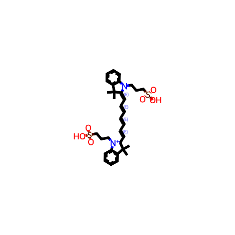 CC1(C)C(/C=C/C=C/C=C/C=C2/N(CCCS(=O)(=O)O)c3ccccc3C2(C)C)=[N+](CCCS(=O)(=O)O)c2ccccc21